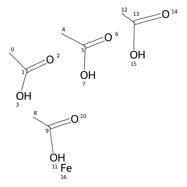 CC(=O)O.CC(=O)O.CC(=O)O.CC(=O)O.[Fe]